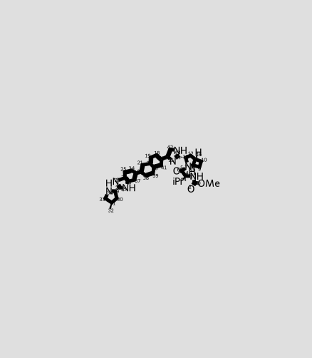 COC(=O)N[C@H](C(=O)N1[C@@H]2CC[C@@H]2C[C@H]1c1nc(-c2ccc3cc(-c4ccc5nc([C@@H]6C[C@@H](C)CN6)[nH]c5c4)ccc3c2)c[nH]1)C(C)C